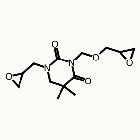 CC1(C)CN(CC2CO2)C(=O)N(COCC2CO2)C1=O